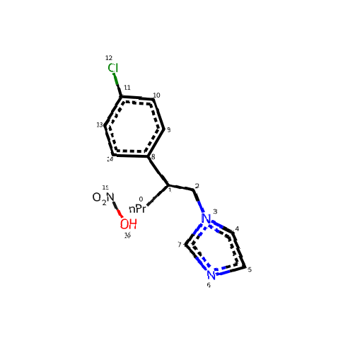 CCCC(Cn1ccnc1)c1ccc(Cl)cc1.O=[N+]([O-])O